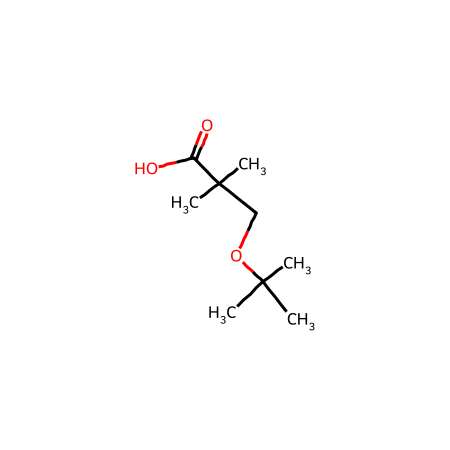 CC(C)(C)OCC(C)(C)C(=O)O